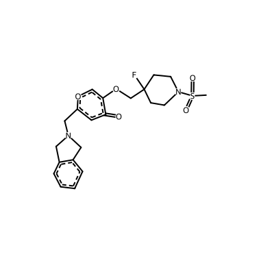 CS(=O)(=O)N1CCC(F)(COc2coc(CN3Cc4ccccc4C3)cc2=O)CC1